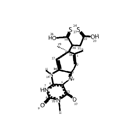 CC1=CC2=Nc3c([nH]c(=O)n(C)c3=O)N(C)C2=C[C@@]1(C)C(CC(O)=S)C(O)=S